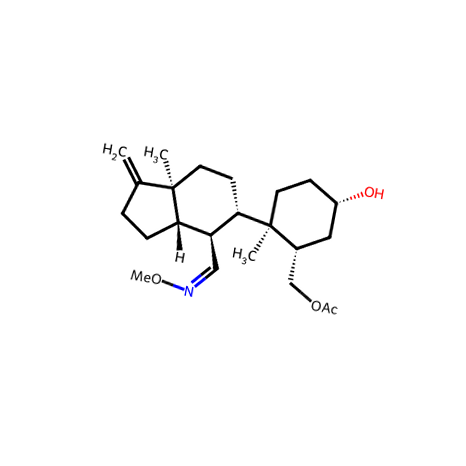 C=C1CC[C@H]2[C@H](/C=N\OC)[C@@H]([C@@]3(C)CC[C@H](O)C[C@@H]3COC(C)=O)CC[C@]12C